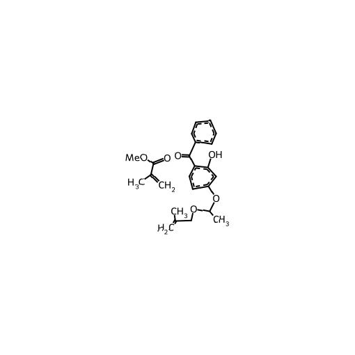 C=C(C)C(=O)OC.C=C(C)COC(C)Oc1ccc(C(=O)c2ccccc2)c(O)c1